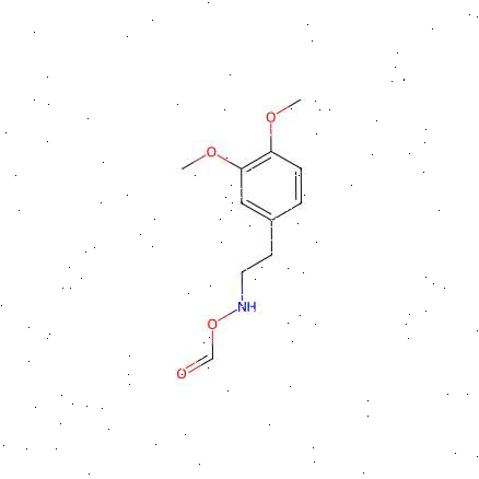 COc1ccc(CCNOC=O)cc1OC